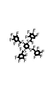 Fc1cc(C(F)Sc2cc(SC(F)c3cc(F)c(F)c(F)c3F)c(SC(F)c3cc(F)c(F)c(F)c3F)cc2SC(F)c2cc(F)c(F)c(F)c2F)c(F)c(F)c1F